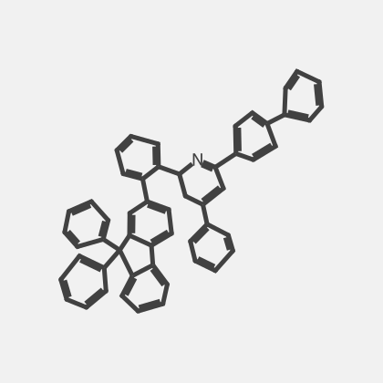 C1=C(c2ccccc2)CC(c2ccccc2-c2ccc3c(c2)C(c2ccccc2)(c2ccccc2)c2ccccc2-3)N=C1c1ccc(-c2ccccc2)cc1